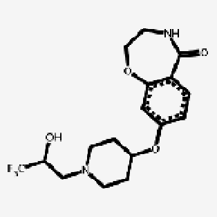 O=C1NCCOc2cc(OC3CCN(CC(O)C(F)(F)F)CC3)ccc21